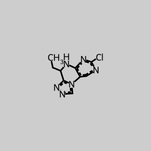 CCC1Nc2nc(Cl)ncc2-n2cnnc21